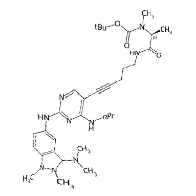 CCCNc1nc(Nc2ccc3c(c2)C(N(C)C)N(C)N3C)ncc1C#CCCCNC(=O)[C@H](C)N(C)C(=O)OC(C)(C)C